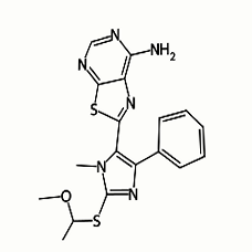 COC(C)Sc1nc(-c2ccccc2)c(-c2nc3c(N)ncnc3s2)n1C